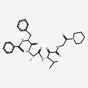 C=C(N[C@@H](Cc1ccccc1)C(=O)N[C@@H](C)C(=O)N[C@H](C(=O)C(=O)NCC(=O)N1CCCCC1)C(C)C)c1ccccc1